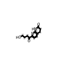 O=C1CCc2ccc(C(=O)CCCO)nc2N1